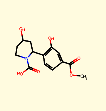 COC(=O)c1ccc(C2CC(O)CCN2C(=O)O)c(O)c1